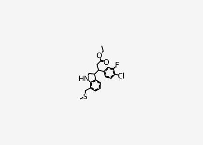 CCOC(=O)CC(c1ccc(Cl)c(F)c1)C1CNc2c(CSC)cccc21